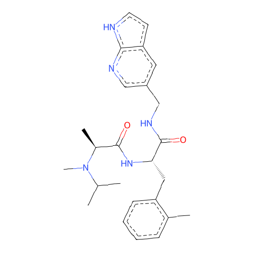 Cc1ccccc1C[C@H](NC(=O)[C@H](C)N(C)C(C)C)C(=O)NCc1cnc2[nH]ccc2c1